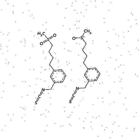 CS(=O)(=O)CCCCc1cccc(CN=C=S)c1.C[S+]([O-])CCCCc1cccc(CN=C=S)c1